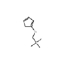 C[Si](C)(C)[CH2][Ti][C]1=CC=CC1